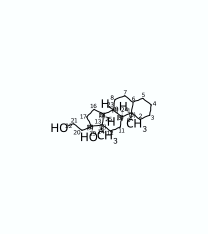 C[C@]12CCCCC1CC[C@@H]1[C@@H]2CC[C@@]2(C)[C@H]1CC[C@]2(O)CCO